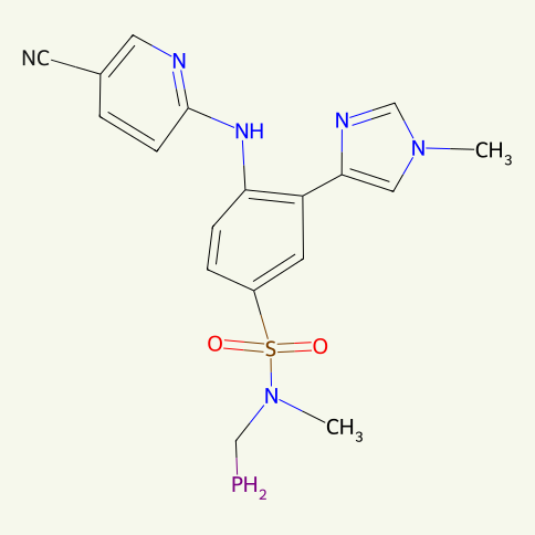 CN(CP)S(=O)(=O)c1ccc(Nc2ccc(C#N)cn2)c(-c2cn(C)cn2)c1